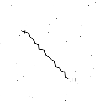 [CH2]CCCCCCCCCCCCCCCCC(F)(F)F